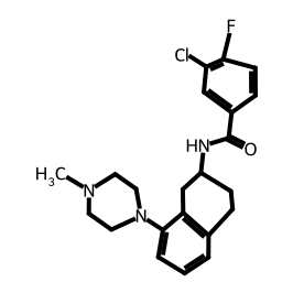 CN1CCN(c2cccc3c2CC(NC(=O)c2ccc(F)c(Cl)c2)CC3)CC1